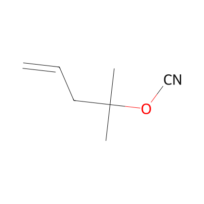 C=CCC(C)(C)OC#N